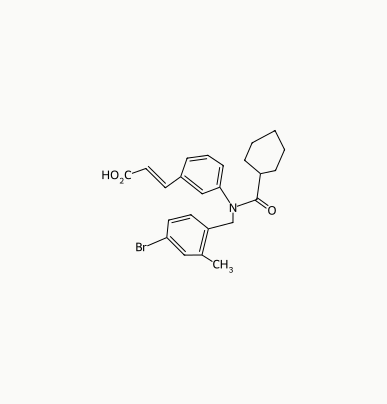 Cc1cc(Br)ccc1CN(C(=O)C1CCCCC1)c1cccc(C=CC(=O)O)c1